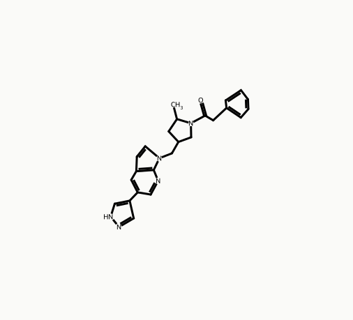 CC1CC(Cn2ccc3cc(-c4cn[nH]c4)cnc32)CN1C(=O)Cc1ccccc1